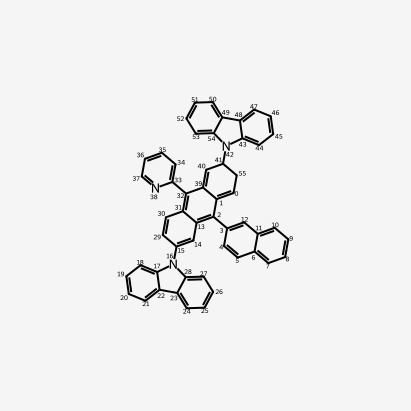 C1=c2c(-c3ccc4ccccc4c3)c3cc(-n4c5ccccc5c5ccccc54)ccc3c(-c3ccccn3)c2=CC(n2c3ccccc3c3ccccc32)C1